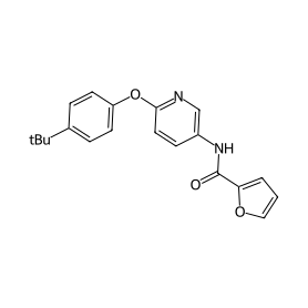 CC(C)(C)c1ccc(Oc2ccc(NC(=O)c3ccco3)cn2)cc1